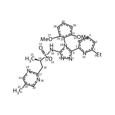 CCc1cccc(-c2nnc(NS(=O)(=O)[C@H](C)Cc3ncc(C)cn3)n2-c2c(OC)cccc2OC)n1